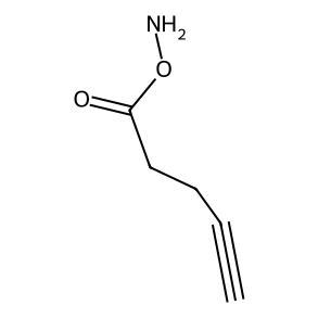 C#CCCC(=O)ON